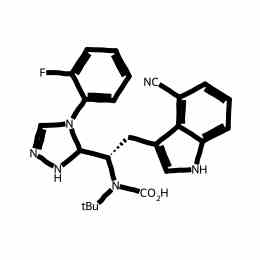 CC(C)(C)N(C(=O)O)[C@@H](Cc1c[nH]c2cccc(C#N)c12)C1NN=CN1c1ccccc1F